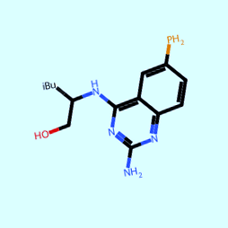 CCC(C)C(CO)Nc1nc(N)nc2ccc(P)cc12